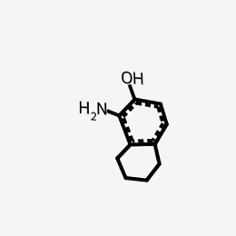 Nc1c(O)ccc2c1CCCC2